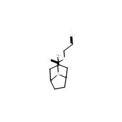 C=CCOC(=O)N1C2CCC1CC(N)C2